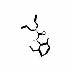 C=CCN(CC=C)C(=O)Nc1c(C)cccc1CC